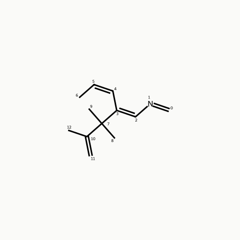 C=N/C=C(\C=C/C)C(C)(C)C(=C)C